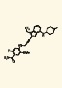 COc1cc(C(N)=O)c(F)cc1NCC#Cc1cc2c(NC3CCN(C)CC3)cccc2n1CC(F)(F)F